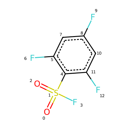 O=S(=O)(F)c1c(F)cc(F)cc1F